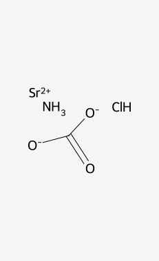 Cl.N.O=C([O-])[O-].[Sr+2]